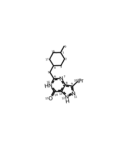 CC1CCC(Cc2nc3c(C(C)C)n[nH]c3c(=O)[nH]2)CC1